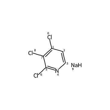 Clc1ccnc(Cl)c1Cl.[NaH]